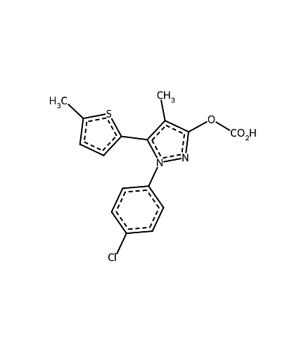 Cc1ccc(-c2c(C)c(OC(=O)O)nn2-c2ccc(Cl)cc2)s1